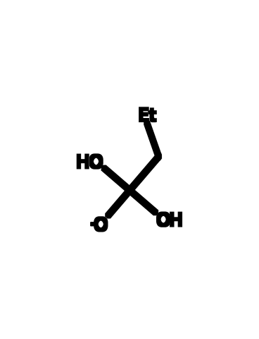 CCCC([O])(O)O